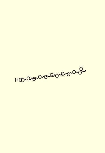 C=CC(=O)OCCOCCOCCOCCOCCOCCOCCOCCOCCOCCOO